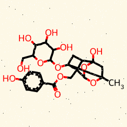 CC12CC3(O)OC(O1)C1(COC(=O)c4ccc(O)cc4)C3CC21OC1OC(CO)C(O)C(O)C1O